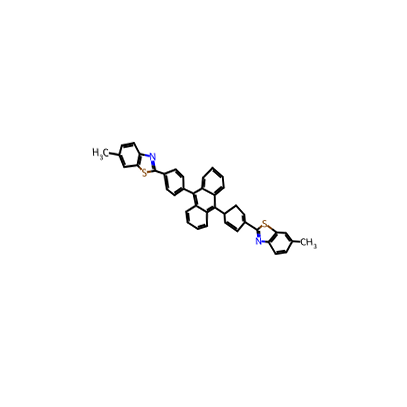 Cc1ccc2nc(C3=CCC(c4c5ccccc5c(-c5ccc(-c6nc7ccc(C)cc7s6)cc5)c5ccccc45)C=C3)sc2c1